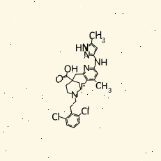 Cc1cc(Nc2cc(C)c(F)c(CC3(C(=O)O)CCN(CCc4c(Cl)cccc4Cl)CC3)n2)n[nH]1